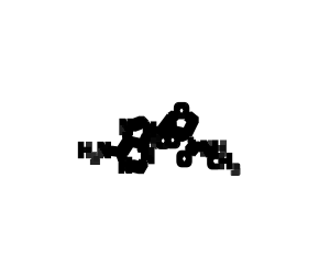 CNC(=O)[C@@]12COC(C1O)[C@H](n1cnc3c(N)ncnc31)O2